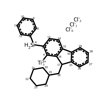 [Cl-].[Cl-].[Cl-].[Ti+3][c]1c([SiH2]c2ccccc2)ccc2c1C(CC1CCCCC1)c1ccccc1-2